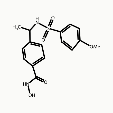 COc1ccc(S(=O)(=O)NC(C)c2ccc(C(=O)NO)cc2)cc1